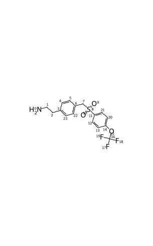 NCCc1ccc(CS(=O)(=O)c2ccc(OC(F)(F)F)cc2)cc1